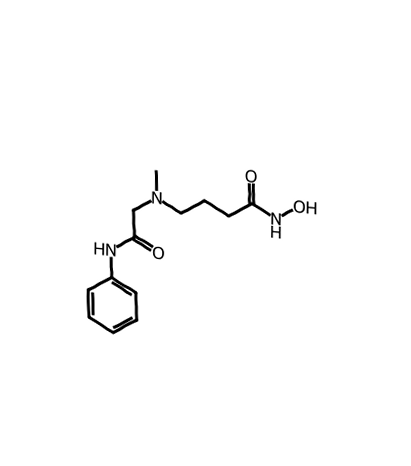 CN(CCCC(=O)NO)CC(=O)Nc1ccccc1